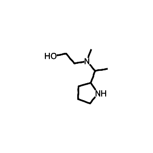 CC(C1CCCN1)N(C)CCO